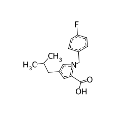 CC(C)Cc1cc(C(=O)O)n(Cc2ccc(F)cc2)c1